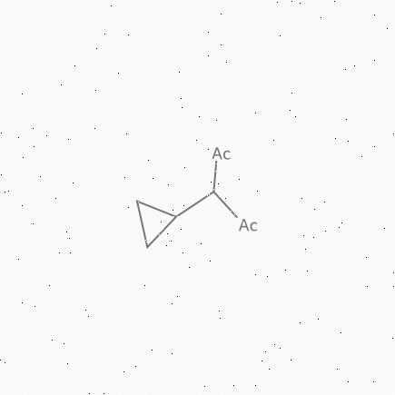 CC(=O)C(C(C)=O)C1CC1